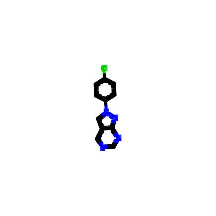 Clc1ccc(-n2cc3cncnc3n2)cc1